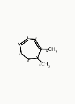 CC1=CC=CCCC1C